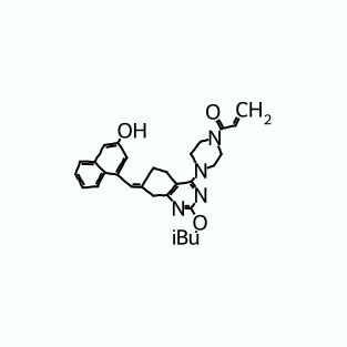 C=CC(=O)N1CCN(c2nc(O[C@H](C)CC)nc3c2CC/C(=C\c2cc(O)cc4ccccc24)C3)CC1